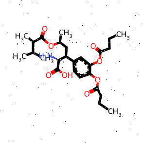 CCCC(=O)Oc1ccc(C(CC(C)OC(=O)C(C)C(C)C)[C@H](N)C(=O)O)cc1OC(=O)CCC